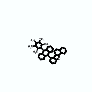 Bc1c(B)c(B)c(-c2c3ccccc3c(-c3cccc4oc5c6ccccc6ccc5c34)c3ccccc23)c(B)c1B